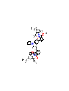 Cc1cc(C)c(N2C(=O)c3cccc(-c4ccc5c(c4)c4cc(-c6cccc7c6C(=O)N(c6c(C)cc(C)cc6C)C7=O)ccc4n5-c4ccccc4)c3C2=O)c(C)c1